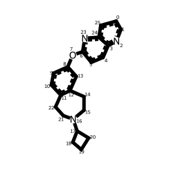 c1cnc2ccc(Oc3ccc4c(c3)CCN(C3CCC3)CC4)nc2c1